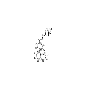 FC(F)(F)CCCCCc1ccc(-c2cccc3ccccc23)cc1